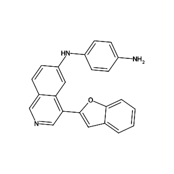 Nc1ccc(Nc2ccc3cncc(-c4cc5ccccc5o4)c3c2)cc1